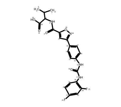 CC(C)C(NC(=O)c1cc(-c2ccc(NC(=O)Nc3ccc(F)cc3F)cc2)no1)C(=O)O